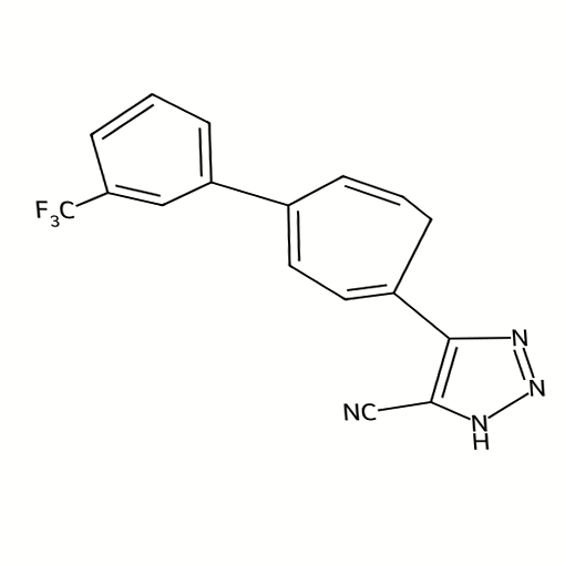 N#Cc1[nH]nnc1C1=CC=C(c2cccc(C(F)(F)F)c2)C=CC1